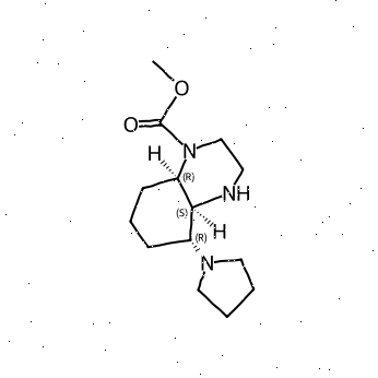 COC(=O)N1CCN[C@H]2[C@H](N3CCCC3)CCC[C@H]21